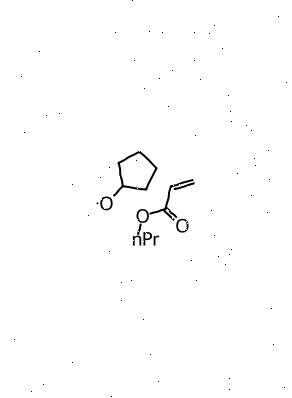 C=CC(=O)OCCC.[O]C1CCCC1